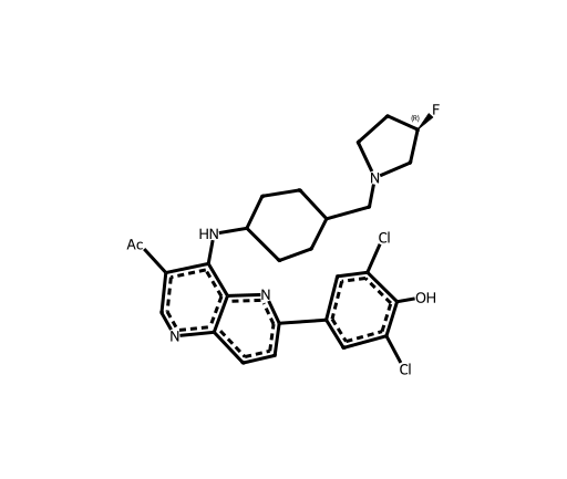 CC(=O)c1cnc2ccc(-c3cc(Cl)c(O)c(Cl)c3)nc2c1NC1CCC(CN2CC[C@@H](F)C2)CC1